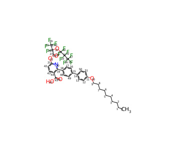 CCCCCCCCCCOc1ccc(-c2ccc(-c3nc(OC(=O)C(F)(OC(F)(F)C(F)(F)C(F)(F)F)C(F)(F)F)ccc3C(=O)O)cc2)cc1